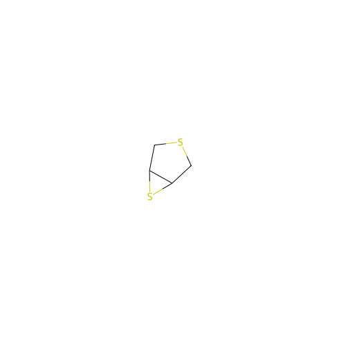 C1SCC2SC12